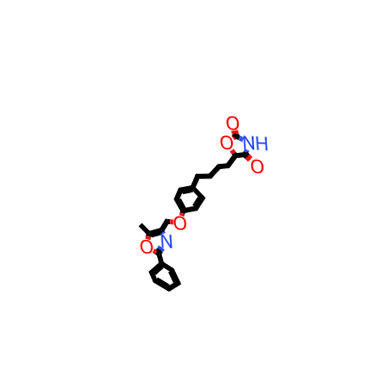 Cc1oc(-c2ccccc2)nc1COc1ccc(CCCCC2OC(=O)NC2=O)cc1